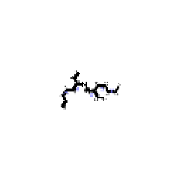 C=C/C=C\C=C(/C=C)N=NC(/C=C\C=C/C)=C/C